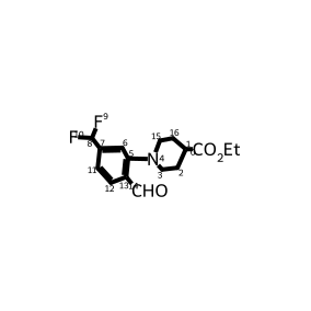 CCOC(=O)C1CCN(c2cc(C(F)F)ccc2C=O)CC1